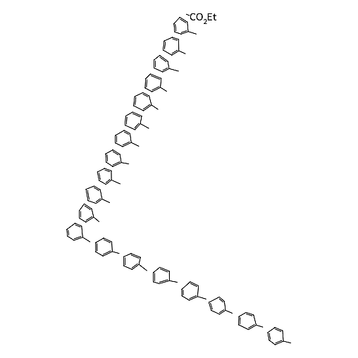 CCOC(C)=O.Cc1ccccc1.Cc1ccccc1.Cc1ccccc1.Cc1ccccc1.Cc1ccccc1.Cc1ccccc1.Cc1ccccc1.Cc1ccccc1.Cc1ccccc1.Cc1ccccc1.Cc1ccccc1.Cc1ccccc1.Cc1ccccc1.Cc1ccccc1.Cc1ccccc1.Cc1ccccc1.Cc1ccccc1.Cc1ccccc1.Cc1ccccc1